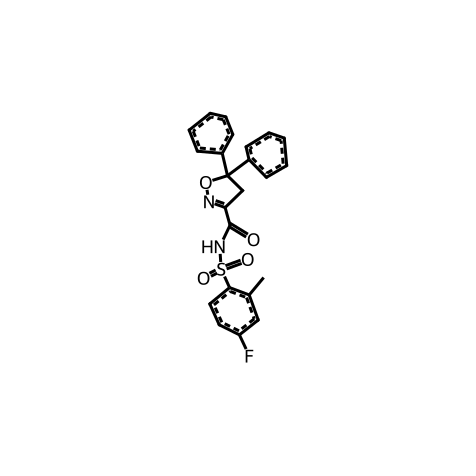 Cc1cc(F)ccc1S(=O)(=O)NC(=O)C1=NOC(c2ccccc2)(c2ccccc2)C1